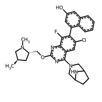 C[C@@H]1C[C@@H](COc2nc(N3CC4CCC(C3)N4)c3cc(Cl)c(-c4cc(O)cc5ccccc45)c(F)c3n2)N(C)C1